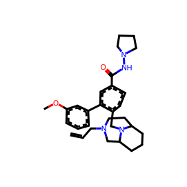 C=CCN1CCC2CCCC(C1)N2Cc1ccc(C(=O)NN2CCCC2)cc1-c1cccc(OC)c1